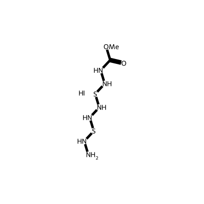 COC(=O)NNSNNSNN.I